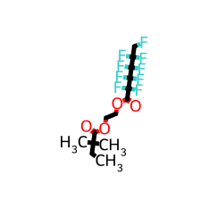 CCC(C)(C)C(=O)OCCOC(=O)C(F)(F)C(F)(F)C(F)(F)C(F)(F)CF